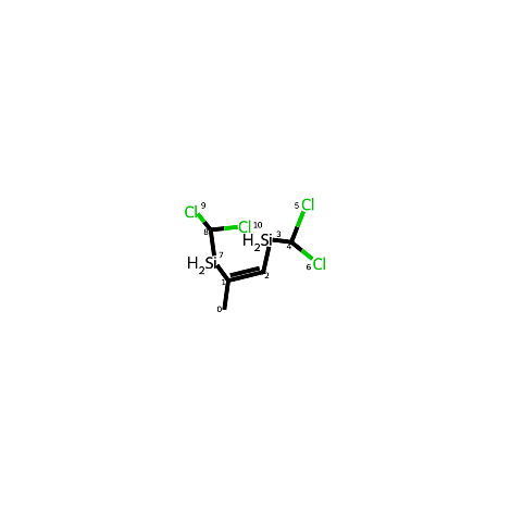 CC(=C[SiH2]C(Cl)Cl)[SiH2]C(Cl)Cl